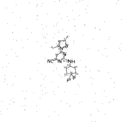 Cc1cc(C)n(-c2cc(C#N)nc(NC3CCC(F)(F)CC3)n2)n1